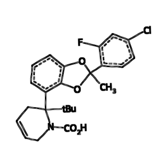 CC1(c2ccc(Cl)cc2F)Oc2cccc(C3(C(C)(C)C)CC=CCN3C(=O)O)c2O1